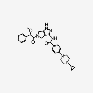 COC(C(=O)N1Cc2[nH]nc(NC(=O)c3ccc(N4CCN(C5CC5)CC4)cc3)c2C1)c1ccccc1